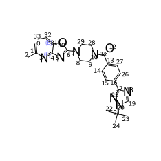 C=C(C)/N=C1/N=C(N2CCN(C(=O)c3ccc(-c4ncn(C(C)(C)C)n4)cc3)CC2)O/C1=C/C